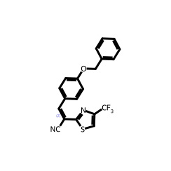 N#C/C(=C/c1ccc(OCc2ccccc2)cc1)c1nc(C(F)(F)F)cs1